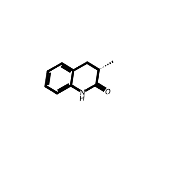 C[C@H]1Cc2ccccc2NC1=O